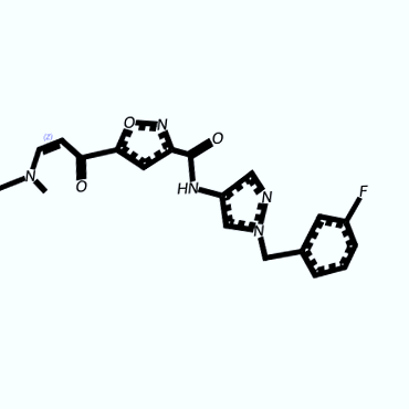 CN(C)/C=C\C(=O)c1cc(C(=O)Nc2cnn(Cc3cccc(F)c3)c2)no1